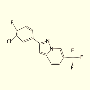 Fc1ccc(-c2cc3ccc(C(F)(F)F)cn3n2)cc1Cl